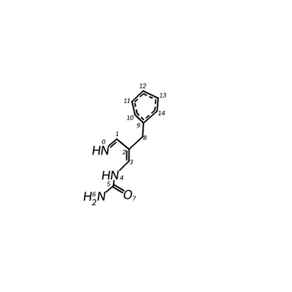 N=C/C(=C\NC(N)=O)Cc1ccccc1